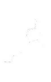 C/C=C(/CSSc1ccc([N+](=O)[O-])cc1C(Cl)(Cl)Cl)OCC